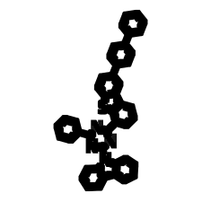 c1ccc(-c2ccc(-c3ccc4sc5c(-c6nc(-c7ccccc7)nc(-n7c8ccccc8c8ccccc87)n6)cccc5c4c3)cc2)cc1